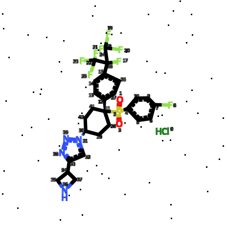 Cl.O=S(=O)(c1ccc(F)cc1)[C@]1(c2ccc(C(F)(C(F)(F)F)C(F)(F)F)cc2)CC[C@H](n2cc(C3CNC3)nn2)CC1